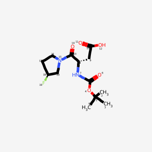 CC(C)(C)OC(=O)N[C@@H](CC(=O)O)C(=O)N1CC[C@H](F)C1